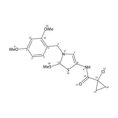 COc1ccc(CN2C=C(NC(=O)C3(Cl)CC3)SC2SC)c(OC)c1